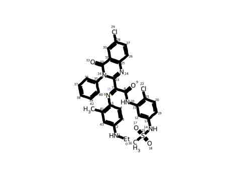 CCNc1ccc(/N=C(\C(=O)Nc2cc(NS(C)(=O)=O)ccc2Cl)c2nc3ccc(Cl)cc3c(=O)n2-c2ccccc2)c(C)c1